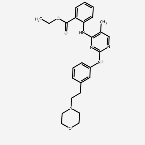 CCOC(=O)c1ccccc1Nc1nc(Nc2cccc(CCN3CCOCC3)c2)ncc1C